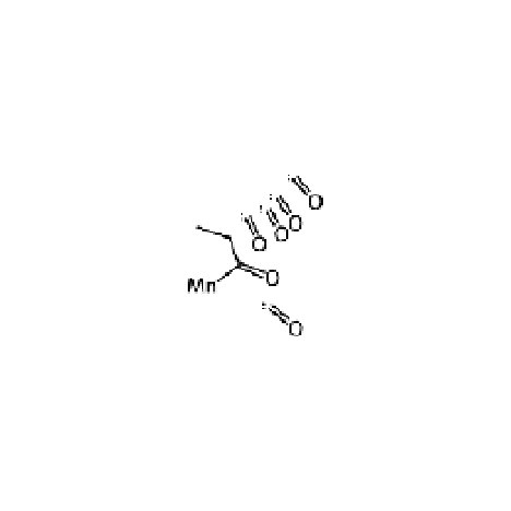 CC[C](=O)[Mn].[C]=O.[C]=O.[C]=O.[C]=O.[C]=O